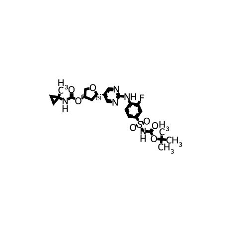 CC1(NC(=O)O[C@H]2CO[C@H](c3cnc(Nc4ccc(S(=O)(=O)NC(=O)OC(C)(C)C)cc4F)nc3)C2)CC1